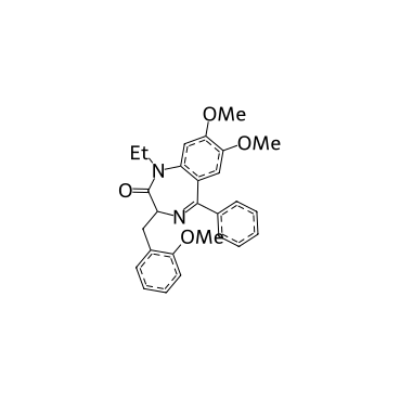 CCN1C(=O)C(Cc2ccccc2OC)N=C(c2ccccc2)c2cc(OC)c(OC)cc21